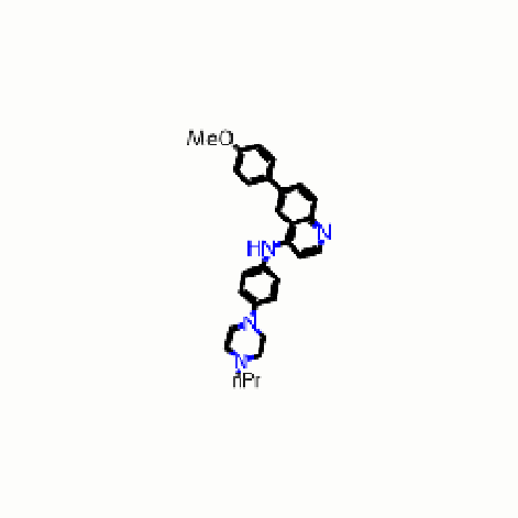 CCCN1CCN(c2ccc(Nc3ccnc4ccc(-c5ccc(OC)cc5)cc34)cc2)CC1